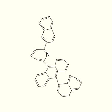 c1cc(-c2ccc3ccccc3c2)nc(-c2c3ccccc3c(-c3cccc4ccccc34)c3ccccc23)c1